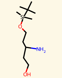 CC(C)(C)[Si](C)(C)OCCC(N)CCO